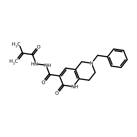 C=C(C)C(=O)NNC(=O)c1cc2c([nH]c1=O)CCN(Cc1ccccc1)C2